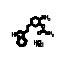 Cl.Cl.NC(=O)OC1CN(CCc2c[nH]c3ccccc23)CCC1N